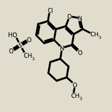 COC1CCCC(n2c(=O)c3c(C)noc3c3c(Cl)cccc32)C1.CS(=O)(=O)O